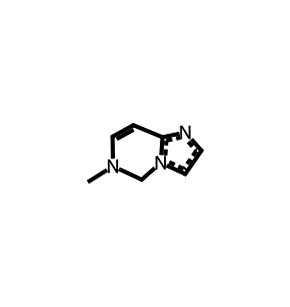 CN1C=Cc2nccn2C1